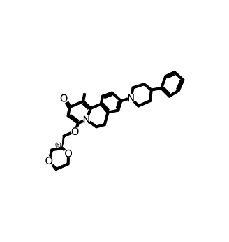 Cc1c2n(c(OC[C@@H]3COCCO3)cc1=O)CCc1cc(N3CCC(c4ccccc4)CC3)ccc1-2